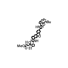 CCC[C@H]1CCC(c2ncc(-c3ccc4c(c3)COc3cc5c(ccc6nc([C@@H]7CC[C@H](CC)N7C(=O)CNC(=O)OC)[nH]c65)cc3-4)[nH]2)N1C(=O)CC(C)CC